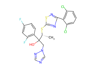 C[C@@H](Sc1nc(-c2c(Cl)cccc2Cl)ns1)C(O)(Cn1cncn1)c1ccc(F)cc1F